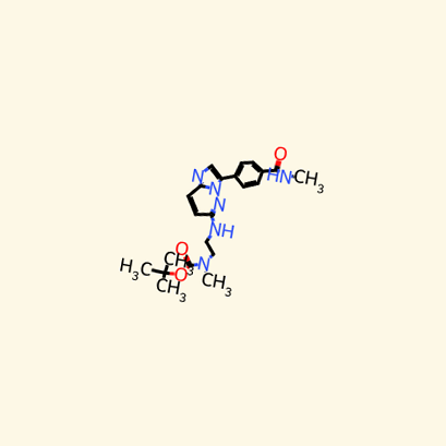 CNC(=O)c1ccc(-c2cnc3ccc(NCCN(C)C(=O)OC(C)(C)C)nn23)cc1